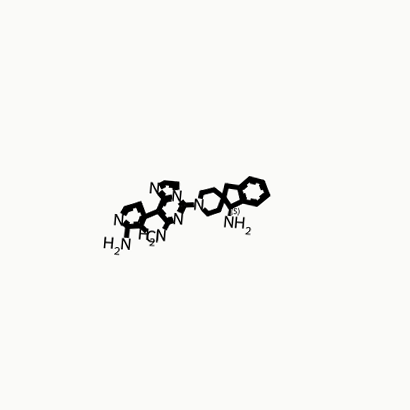 Nc1nccc(-c2c(N)nc(N3CCC4(CC3)Cc3ccccc3[C@H]4N)n3ccnc23)c1Cl